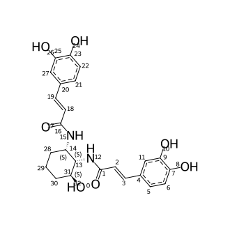 O=C(C=Cc1ccc(O)c(O)c1)N[C@H]1[C@@H](NC(=O)C=Cc2ccc(O)c(O)c2)CCC[C@@H]1O